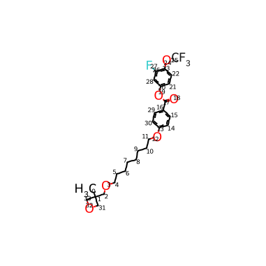 CC1(COCCCCCCCCOc2ccc(C(=O)Oc3ccc(OC(F)(F)F)c(F)c3)cc2)COC1